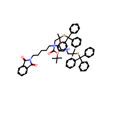 CC(C)(C)OC(=O)[N+](CCCCCN1C(=O)c2ccccc2C1=O)(CCNCC(C)(C)SC(c1ccccc1)(c1ccccc1)c1ccccc1)CC(C)(C)SC(c1ccccc1)(c1ccccc1)c1ccccc1